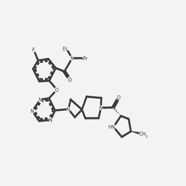 CCN(C(=O)c1cc(F)ccc1Oc1nncnc1N1CC2(CCN(C(=O)[C@@H]3C[C@@H](C)CN3)CC2)C1)C(C)C